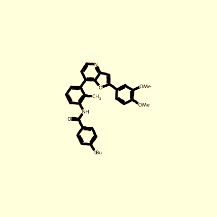 COc1ccc(-c2cc3nccc(-c4cccc(NC(=O)c5ccc(C(C)(C)C)cc5)c4C)c3o2)cc1OC